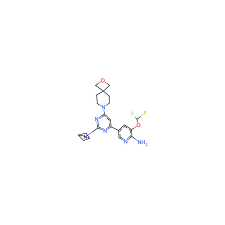 Nc1ncc(-c2cc(N3CCC4(CC3)COC4)nc(N3CC4CC3C4)n2)cc1OC(F)F